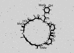 C=C1[C@H](C)C[C@H](C)/C=C/C=C/C=C(\C)[C@@H](OC)C[C@@H]2CC[C@@H](C)[C@@](O)(O2)C(=O)C(=O)N2CCCCC2C(=O)O[C@H]([C@H](C)C[C@@H]2CC[C@@H](O)[C@H](OC)C2)CC(=O)[C@H](C)/C=C(\C)[C@@H](O)[C@H]1OC